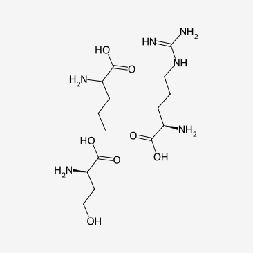 CCCC(N)C(=O)O.N=C(N)NCCC[C@@H](N)C(=O)O.N[C@H](CCO)C(=O)O